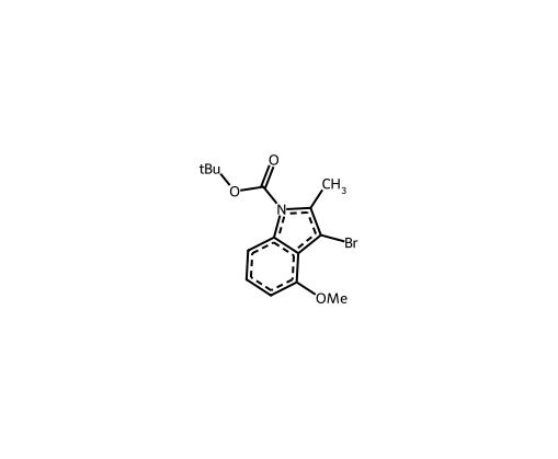 COc1cccc2c1c(Br)c(C)n2C(=O)OC(C)(C)C